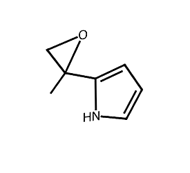 CC1(c2ccc[nH]2)CO1